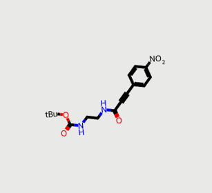 CC(C)(C)OC(=O)NCCNC(=O)C#Cc1ccc([N+](=O)[O-])cc1